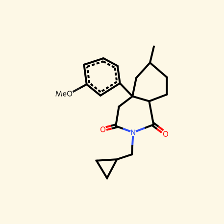 COc1cccc(C23CC(=O)N(CC4CC4)C(=O)C2CCC(C)C3)c1